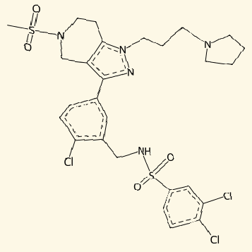 CS(=O)(=O)N1CCc2c(c(-c3ccc(Cl)c(CNS(=O)(=O)c4ccc(Cl)c(Cl)c4)c3)nn2CCCN2CCCC2)C1